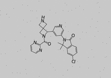 CC1(C)c2cc(Cl)ccc2C(=O)N1c1cncc(C2N(C(=O)c3ncccn3)CC23CNC3)c1